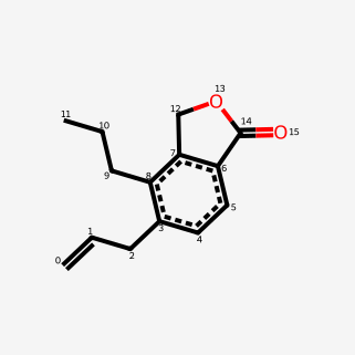 C=CCc1ccc2c(c1CCC)COC2=O